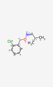 CC(C)/[C]=N\OCc1ccccc1Cl